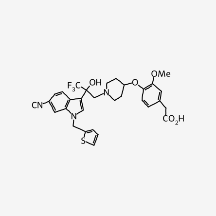 [C-]#[N+]c1ccc2c(C(O)(CN3CCC(Oc4ccc(CC(=O)O)cc4OC)CC3)C(F)(F)F)cn(Cc3cccs3)c2c1